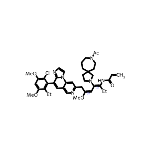 C=CC(=O)N/C(CC)=C(/C=C(\Cc1cc2c(cn1)cc(-c1c(Cl)c(OC)cc(OC)c1CC)c1nccn12)OC)N1CCC2(CCCN(C(C)=O)CC2)C1